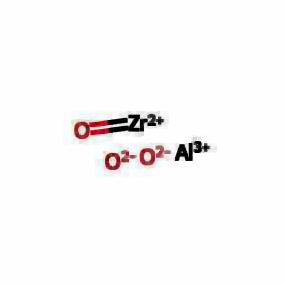 [Al+3].[O-2].[O-2].[O]=[Zr+2]